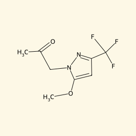 COc1cc(C(F)(F)F)nn1CC(C)=O